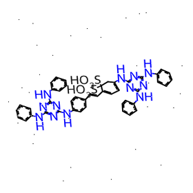 O=S(=O)(O)C1(S(=O)(=O)O)CC(Nc2nc(Nc3ccccc3)nc(Nc3ccccc3)n2)=CC=C1C=Cc1ccc(Nc2nc(Nc3ccccc3)nc(Nc3ccccc3)n2)cc1